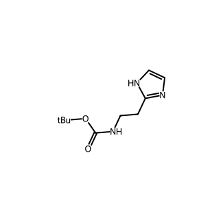 CC(C)(C)OC(=O)NCCc1ncc[nH]1